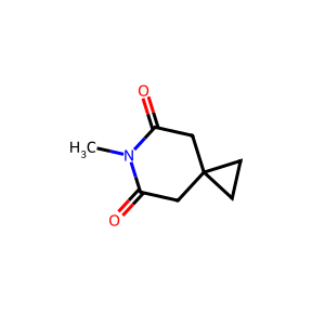 CN1C(=O)CC2(CC2)CC1=O